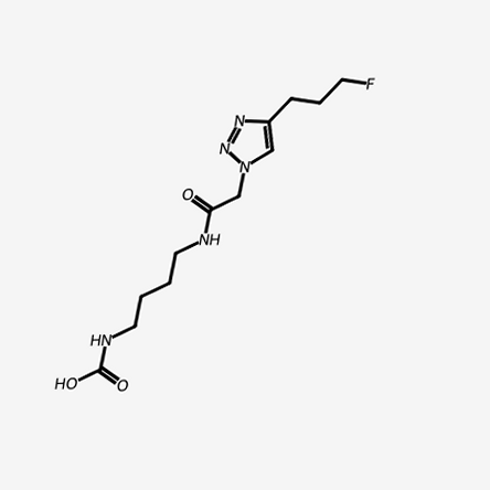 O=C(O)NCCCCNC(=O)Cn1cc(CCCF)nn1